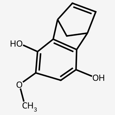 COc1cc(O)c2c(c1O)C1C=CC2C1